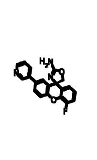 NC1=N[C@@]2(CO1)c1cc(-c3cccnc3)ccc1Oc1c(F)cccc12